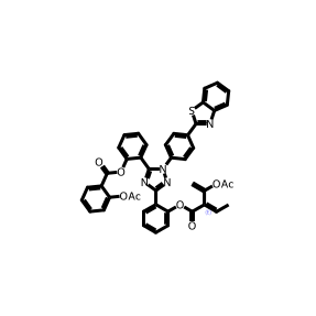 C=C(OC(C)=O)/C(=C\C)C(=O)Oc1ccccc1-c1nc(-c2ccccc2OC(=O)c2ccccc2OC(C)=O)n(-c2ccc(-c3nc4ccccc4s3)cc2)n1